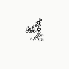 CN(CCC#N)CC(O)COc1ccc(-c2nc3cc(Br)cnc3[nH]2)cc1.O=C(O)C(F)(F)F.O=C(O)C(F)(F)F